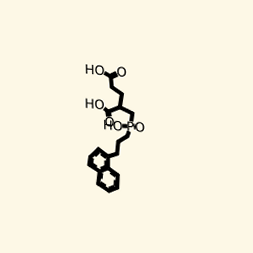 O=C(O)CCC(CP(=O)(O)CCCc1cccc2ccccc12)C(=O)O